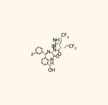 NC(=O)[C@H](CCC(F)(F)F)[C@H](CCC(F)(F)F)C(=O)N[C@H]1N=C(c2cccc(F)c2)c2cccc(CO)c2NC1=O